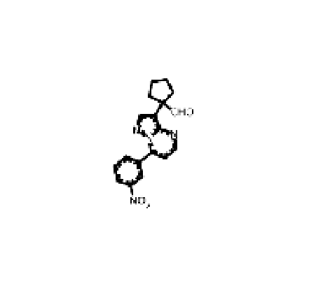 O=CC1(c2cnn3c(-c4cccc([N+](=O)[O-])c4)ccnc23)CCCC1